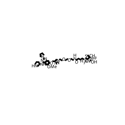 COc1cc2c(N[C@@H]3CCCNC3)nc(N3CCCC3)nc2cc1OCc1cn(CCOCCOCCNC(=O)CCCC[C@@H]2SC[C@]3(C)NC(O)N[C@]23C)nn1